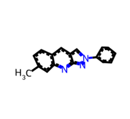 Cc1ccc2cc3cn(-c4ccccc4)nc3nc2c1